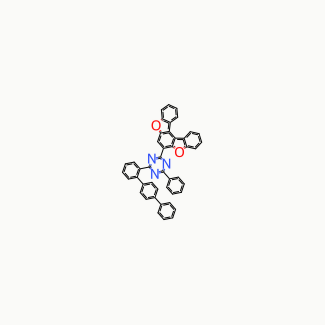 c1ccc(-c2ccc(-c3ccccc3-c3nc(-c4ccccc4)nc(-c4cc5oc6ccccc6c5c5c4oc4ccccc45)n3)cc2)cc1